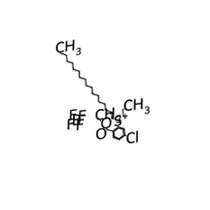 CCCCCCCCCCCCCCCCCC[S+](CCC)c1cc(Cl)ccc1C(=O)OCC.F[B-](F)(F)F